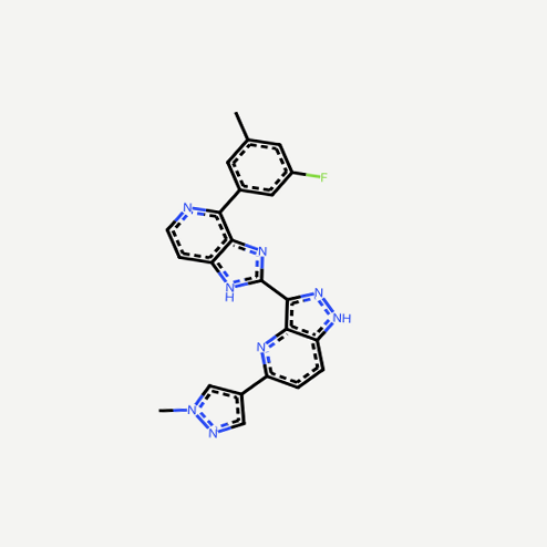 Cc1cc(F)cc(-c2nccc3[nH]c(-c4n[nH]c5ccc(-c6cnn(C)c6)nc45)nc23)c1